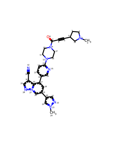 CN1CCC(C#CC(=O)N2CCN(c3ccc(-c4cc(-c5cnn(C)c5)cn5ncc(C#N)c45)cn3)CC2)C1